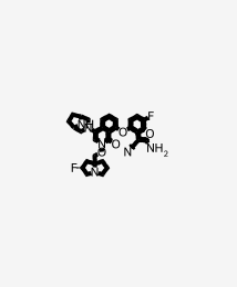 N#Cc1c(N)oc2c(F)ccc(Oc3cccc4c(N5CC6CCC(C5)N6)cn(OCC56CCCN5C[C@H](F)C6)c(=O)c34)c12